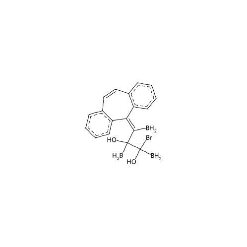 BC(=C1c2ccccc2C=Cc2ccccc21)C(B)(O)C(B)(O)Br